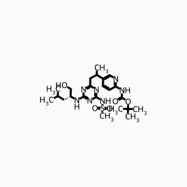 CC(C)C[C@H](CO)Nc1nc(CC(C)c2ccc(NC(=O)OC(C)(C)C)nc2)nc(NS(C)(=O)=O)n1